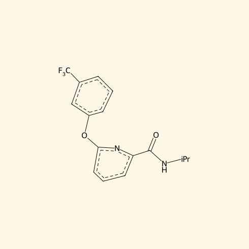 CC(C)NC(=O)c1cccc(Oc2cccc(C(F)(F)F)c2)n1